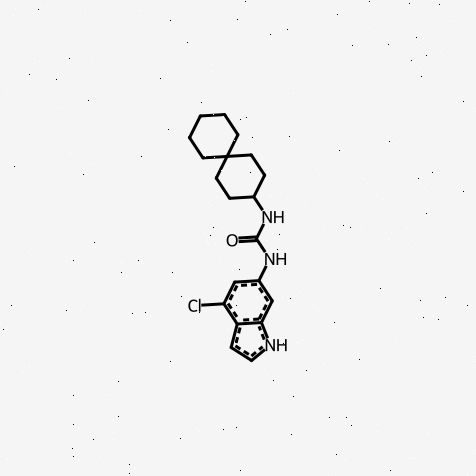 O=C(Nc1cc(Cl)c2cc[nH]c2c1)NC1CCC2(CCCCC2)CC1